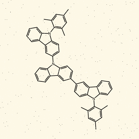 Cc1cc(C)c(-n2c3ccccc3c3cc(-c4ccc5c(c4)c4ccccc4n5-c4ccc5c(c4)c4ccccc4n5-c4c(C)cc(C)cc4C)ccc32)c(C)c1